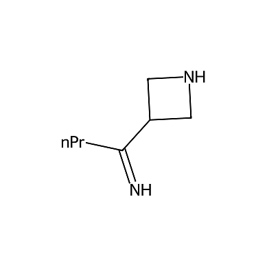 CCCC(=N)C1CNC1